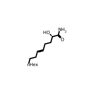 CCCCCC[CH]C/C=C/CC[C@@H](O)C(N)=O